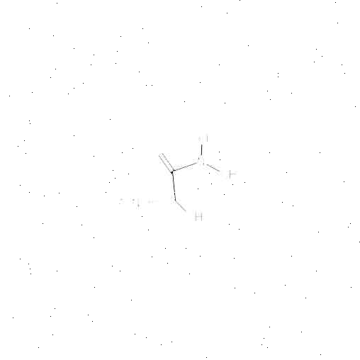 CC(=O)N[C@@H](C)C(=O)N(C)C